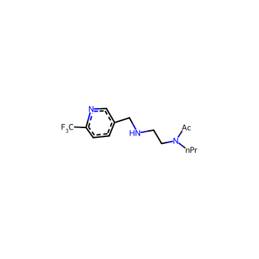 CCCN(CCNCc1ccc(C(F)(F)F)nc1)C(C)=O